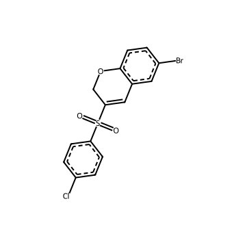 O=S(=O)(C1=Cc2cc(Br)ccc2OC1)c1ccc(Cl)cc1